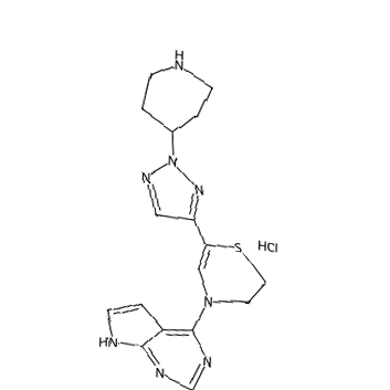 C1=C(c2cnn(C3CCNCC3)n2)SCCN1c1ncnc2[nH]ccc12.Cl